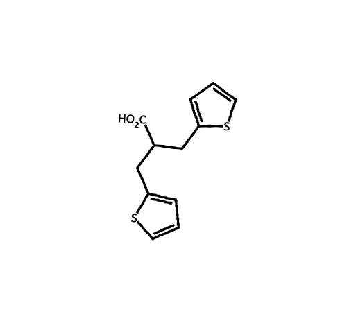 O=C(O)C(Cc1cccs1)Cc1cccs1